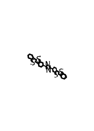 c1ccc2c(c1)sc1c3ccc(-c4cnc(-c5ccc6c(c5)sc5c7ccccc7sc65)cn4)cc3sc21